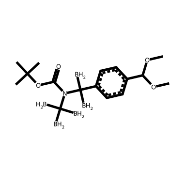 BC(B)(B)N(C(=O)OC(C)(C)C)C(B)(B)c1ccc(C(OC)OC)cc1